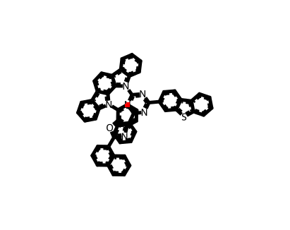 c1ccc(-c2nc(-c3ccc4c(c3)sc3ccccc34)nc(-n3c4ccccc4c4ccc5c6ccccc6n(-c6cccc7nc(-c8cccc9ccccc89)oc67)c5c43)n2)cc1